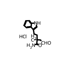 C[C@](CC=O)(CCc1c[nH]c2ccccc12)C(N)=O.Cl